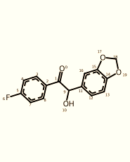 O=C(c1ccc(F)cc1)C(O)c1ccc2c(c1)OCO2